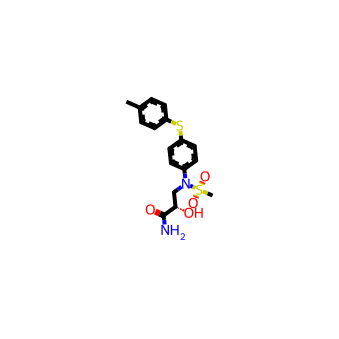 Cc1ccc(Sc2ccc(N(C[C@H](O)C(N)=O)S(C)(=O)=O)cc2)cc1